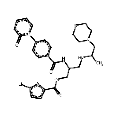 CC(CN1CCOCC1)NCC(CNC(=O)c1ccc(Cl)s1)NC(=O)c1ccc(-n2ccccc2=O)cc1